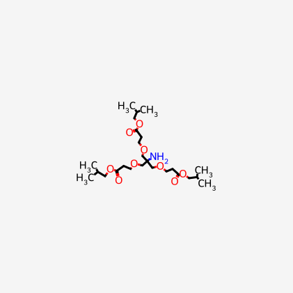 CC(C)COC(=O)CCOCC(N)(COCCC(=O)OCC(C)C)COCCC(=O)OCC(C)C